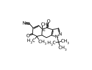 CC1(C)C(=O)C(C#N)=C[C@]2(C)C(=O)c3cnn(C(C)(C)C)c3CC12